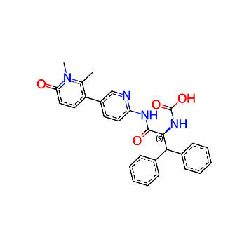 Cc1c(-c2ccc(NC(=O)[C@@H](NC(=O)O)C(c3ccccc3)c3ccccc3)nc2)ccc(=O)n1C